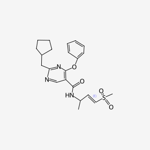 CC(/C=C/S(C)(=O)=O)NC(=O)c1cnc(CC2CCCC2)nc1Oc1ccccc1